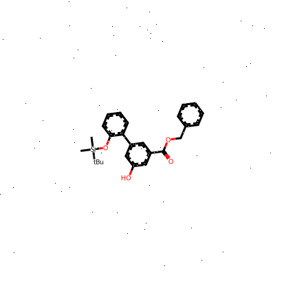 CC(C)(C)[Si](C)(C)Oc1ccccc1-c1cc(O)cc(C(=O)OCc2ccccc2)c1